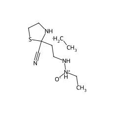 CC[NH+]([O-])NCCC1(C#N)NCCS1.[CH2]C